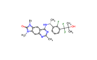 CCn1c(=O)n(C)c2cc3nc(C)nc(N[C@H](C)c4cccc(C(F)(F)C(C)(C)O)c4F)c3cc21